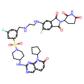 O=C1CCC(N2C(=O)c3cc(F)c(NCCNCc4cc(F)cc(S(=O)(=O)N5CCC(Nc6ncc7ccc(=O)n(C8CCCC8)c7n6)CC5)c4)cc3C2=O)C(=O)N1